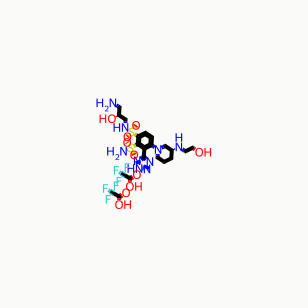 NC[C@@H](O)CNS(=O)(=O)c1ccc(N2CCC[C@@H](NCCO)C2)c(-c2nn[nH]n2)c1S(N)(=O)=O.O=C(O)C(F)(F)F.O=C(O)C(F)(F)F